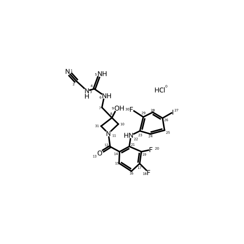 Cl.N#CNC(=N)NCC1(O)CN(C(=O)c2ccc(F)c(F)c2Nc2ccc(I)cc2F)C1